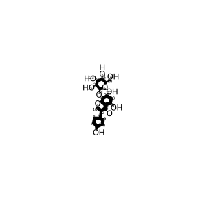 O=c1c(-c2ccc(O)cc2)coc2c(O[C@@H]3O[C@H](CO)[C@@H](O)[C@H](O)[C@H]3O)c(O)cc(O)c12